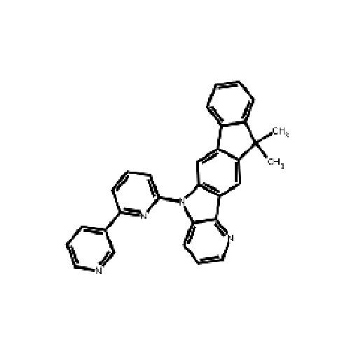 CC1(C)c2ccccc2-c2cc3c(cc21)c1ncccc1n3-c1cccc(-c2cccnc2)n1